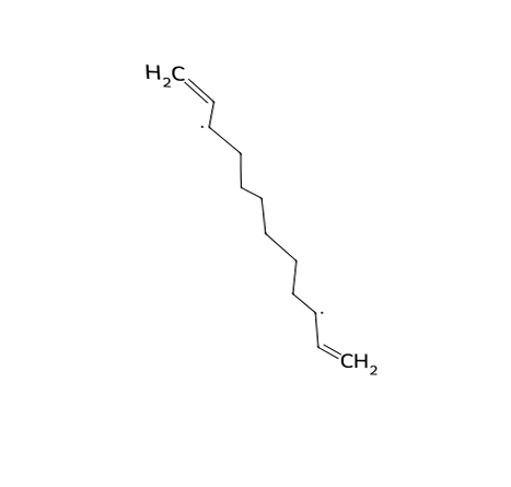 C=C[CH]CCCCCC[CH]C=C